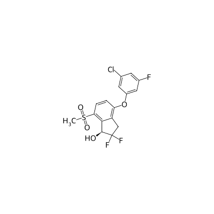 CS(=O)(=O)c1ccc(Oc2cc(F)cc(Cl)c2)c2c1[C@H](O)C(F)(F)C2